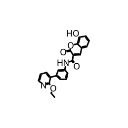 CCOc1ncccc1-c1cccc(NC(=O)c2cc3cccc(O)c3oc2=O)c1